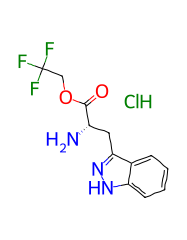 Cl.N[C@@H](Cc1n[nH]c2ccccc12)C(=O)OCC(F)(F)F